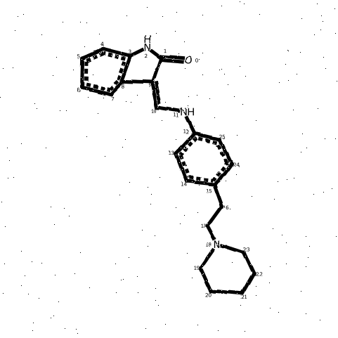 O=C1Nc2ccccc2/C1=C/Nc1ccc(CCN2CCCCC2)cc1